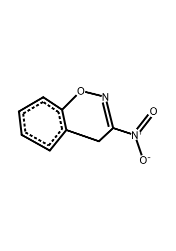 O=[N+]([O-])C1=NOc2ccccc2C1